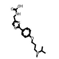 CC(C)N(C)CCCOc1ccc(-c2ncc(CNC(=O)O)s2)cc1